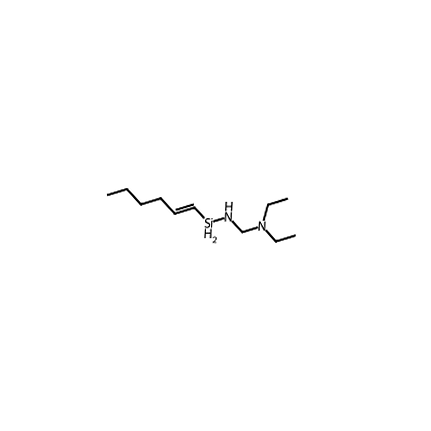 CCCCC=C[SiH2]NCN(CC)CC